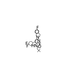 CC(C)(C)CC(=O)Nc1c(C2CCC(F)(F)CC2)cc(N2CCc3cc(F)ccc3C2)nc1F